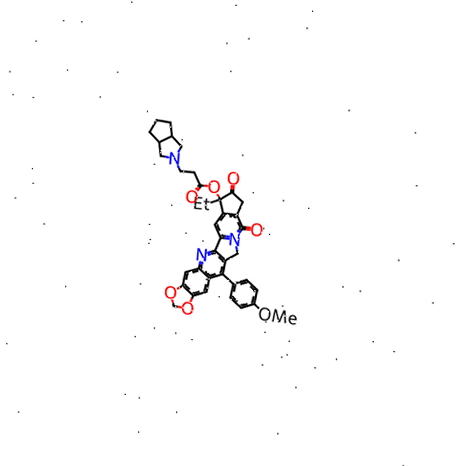 CCC1(OC(=O)CCN2CC3CCCC3C2)C(=O)Cc2c1cc1n(c2=O)Cc2c-1nc1cc3c(cc1c2-c1ccc(OC)cc1)OCO3